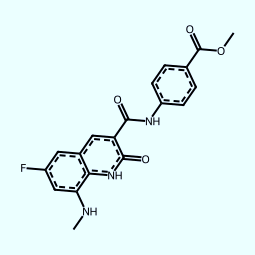 CNc1cc(F)cc2cc(C(=O)Nc3ccc(C(=O)OC)cc3)c(=O)[nH]c12